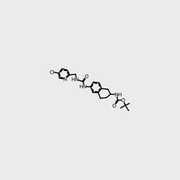 CC(C)(C)OC(=O)NC1CCc2cc(NC(=O)NCc3ccc(Cl)cn3)ccc2C1